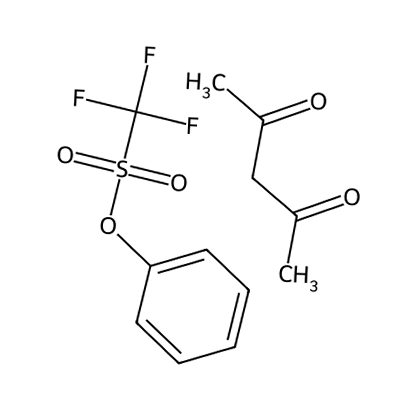 CC(=O)CC(C)=O.O=S(=O)(Oc1ccccc1)C(F)(F)F